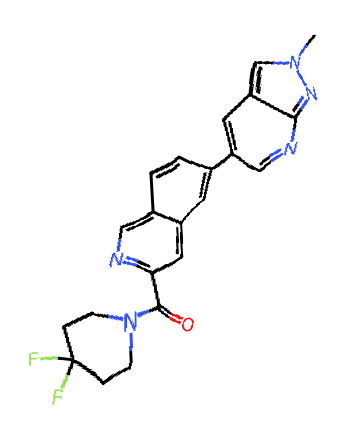 Cn1cc2cc(-c3ccc4cnc(C(=O)N5CCC(F)(F)CC5)cc4c3)cnc2n1